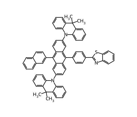 CC1(C)c2ccccc2N(c2ccc3c(-c4ccc5ccccc5c4)c4cc(N5c6ccccc6C(C)(C)c6ccccc65)ccc4c(-c4ccc(-c5nc6ccccc6s5)cc4)c3c2)c2ccccc21